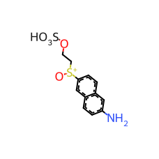 Nc1ccc2cc([S+]([O-])CCOS(=O)(=O)O)ccc2c1